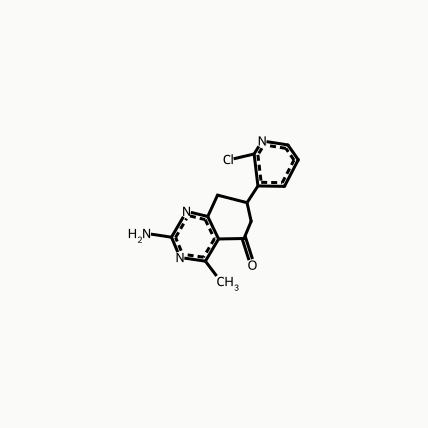 Cc1nc(N)nc2c1C(=O)CC(c1cccnc1Cl)C2